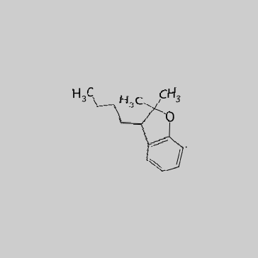 CCCCC1c2ccc[c]c2OC1(C)C